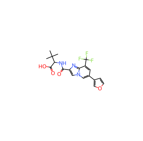 CC(C)(C)C(NC(=O)c1cn2cc(-c3ccoc3)cc(C(F)(F)F)c2n1)C(=O)O